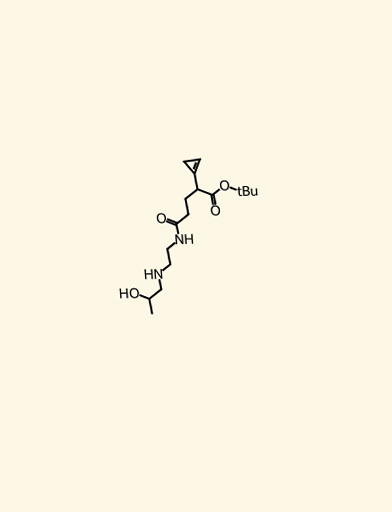 CC(O)CNCCNC(=O)CCC(C(=O)OC(C)(C)C)C1=CC1